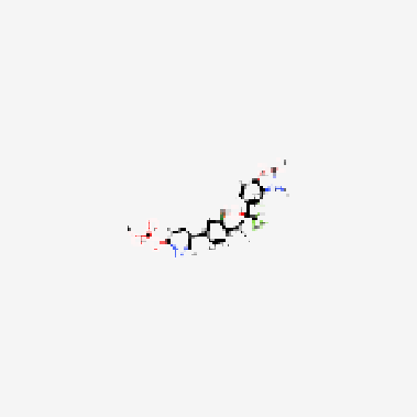 COC(=O)Oc1ccc(-c2ccc(C(C)C(O)(c3ccc4oc(=O)n(C)c4c3)C(F)(F)F)c(Cl)c2)cn1